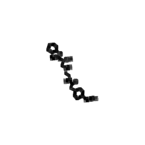 CC(=O)Nc1ccc(CC(=O)NCCNCC(O)COc2ccccc2[N+](=O)[O-])cc1